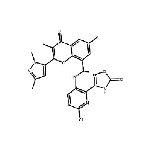 Cc1cc([C@@H](C)Nc2ccc(Cl)nc2-c2noc(=O)[nH]2)c2oc(-c3cc(C)nn3C)c(C)c(=O)c2c1